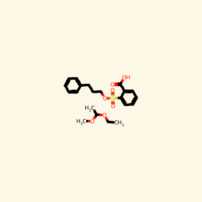 CCOC(C)OC.O=C(O)c1ccccc1S(=O)(=O)OCCCc1ccccc1